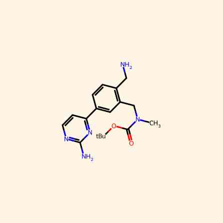 CN(Cc1cc(-c2ccnc(N)n2)ccc1CN)C(=O)OC(C)(C)C